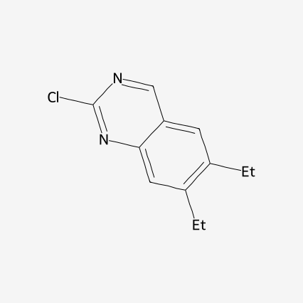 CCc1cc2cnc(Cl)nc2cc1CC